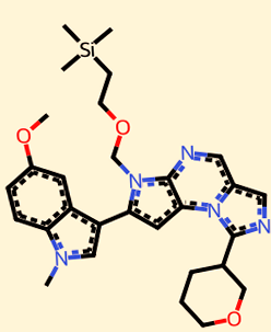 COc1ccc2c(c1)c(-c1cc3c(ncc4cnc(C5CCCOC5)n43)n1COCC[Si](C)(C)C)cn2C